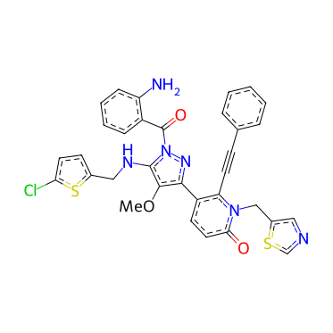 COc1c(-c2ccc(=O)n(Cc3cncs3)c2C#Cc2ccccc2)nn(C(=O)c2ccccc2N)c1NCc1ccc(Cl)s1